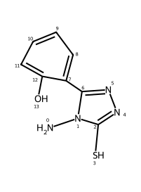 Nn1c(S)nnc1-c1ccccc1O